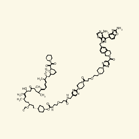 CO[C@@H](CC1CCCC(C(=O)C(=O)N2CCCCC2)O1)/C(C)=C/C=C/C=C/[C@@H](C)C[C@@H](C)C(=O)C[C@H](O)/C(C)=C/[C@@H](C)CC[C@@H](CC[C@H]1CC[C@H](OC(=O)NCCOCCC(=O)NCc2cnc(N3CCN(C(=O)CCOCCN4CCN(c5ncc(C(=O)N6CCc7cc(Cn8nc(-c9ccc%10oc(N)nc%10c9)c9c(N)ncnc98)ccc7C6)cn5)CC4)CC3)nc2)CC1)OC=O